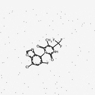 Cc1c(C(F)(F)F)[nH]c(=O)n(-c2c(F)cc(Cl)c3ocnc23)c1=O